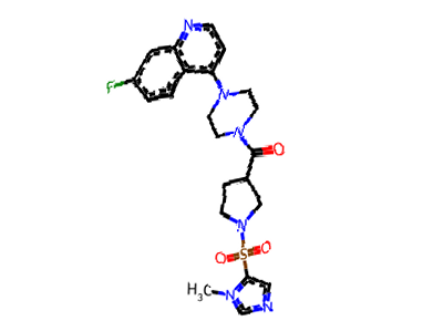 Cn1cncc1S(=O)(=O)N1CCC(C(=O)N2CCN(c3ccnc4cc(F)ccc34)CC2)C1